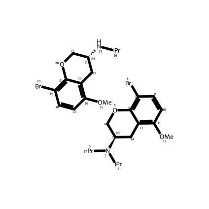 CCCN(C(C)C)[C@H]1COc2c(Br)ccc(OC)c2C1.COc1ccc(Br)c2c1C[C@@H](NC(C)C)CO2